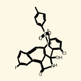 Cc1ccc(S(=O)(=O)Nc2cc3ccc(F)cc3c3c2C(O)(c2cc(F)ccc2Cl)NC3=O)cc1